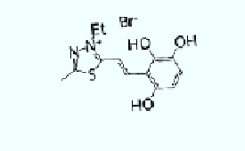 CC[n+]1nc(C)sc1C=Cc1c(O)ccc(O)c1O.[Br-]